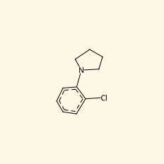 Clc1ccccc1N1CCCC1